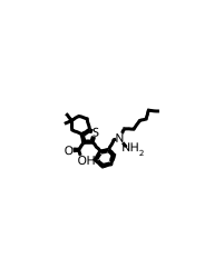 CCCCCCN(N)Cc1ccccc1-c1sc2c(c1C(=O)O)CC(C)(C)CC2